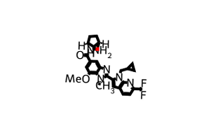 COc1cc(C(=O)N2C[C@H]3CC[C@@H]2[C@@H]3N)cc2nc(-c3cc4ccc(C(F)F)nc4n3CC3CC3)n(C)c12